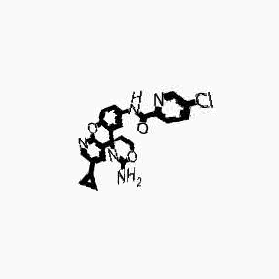 NC1=N[C@@]2(CCO1)c1cc(NC(=O)c3ccc(Cl)cn3)ccc1Oc1ncc(C3CC3)cc12